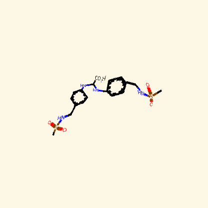 CS(=O)(=O)NCc1ccc(NC(Nc2ccc(CNS(C)(=O)=O)cc2)C(=O)O)cc1